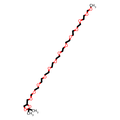 COCOCCOCCOCCOCCOCCOCCOCCOCCOCCOCCOCOCC1COC(C)(C)O1